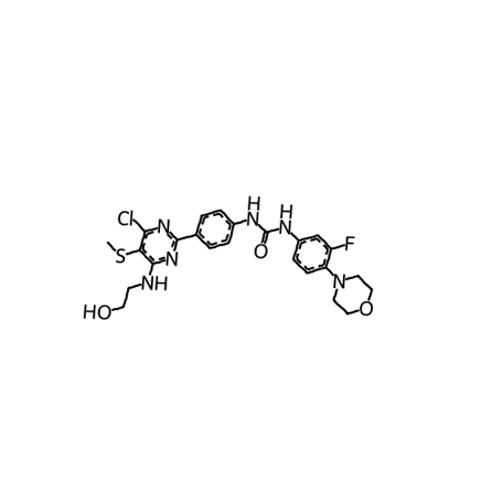 CSc1c(Cl)nc(-c2ccc(NC(=O)Nc3ccc(N4CCOCC4)c(F)c3)cc2)nc1NCCO